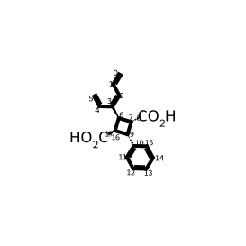 C=C/C=C(\C=C)[C@H]1[C@H](C(=O)O)[C@H](c2ccccc2)[C@H]1C(=O)O